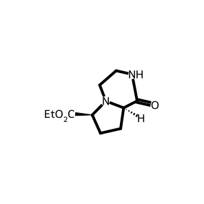 CCOC(=O)[C@@H]1CC[C@@H]2C(=O)NCCN21